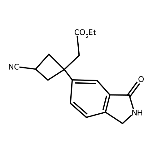 CCOC(=O)CC1(c2ccc3c(c2)C(=O)NC3)CC(C#N)C1